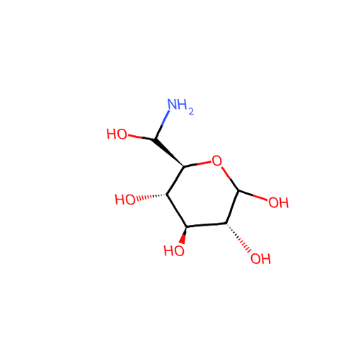 NC(O)[C@H]1OC(O)[C@H](O)[C@@H](O)[C@@H]1O